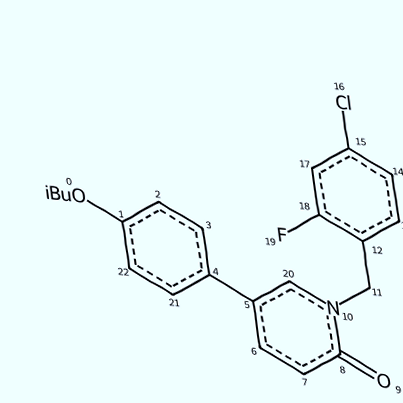 CC(C)COc1ccc(-c2ccc(=O)n(Cc3ccc(Cl)cc3F)c2)cc1